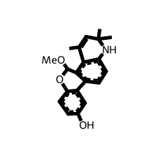 COC1Oc2ccc(O)cc2-c2ccc3c(c21)C(C)=CC(C)(C)N3